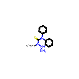 CCCCCN(NN)C(=S)N(c1ccccc1)c1ccccc1